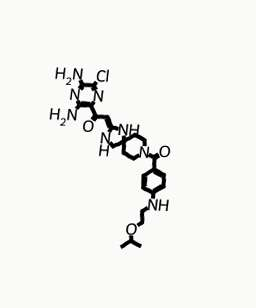 CC(C)OCCNc1ccc(C(=O)N2CCC3(CC2)CN/C(=C\C(=O)c2nc(Cl)c(N)nc2N)N3)cc1